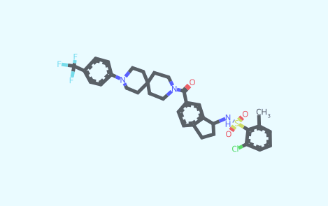 Cc1cccc(Cl)c1S(=O)(=O)NC1CCc2ccc(C(=O)N3CCC4(CC3)CCN(c3ccc(C(F)(F)F)cc3)CC4)cc21